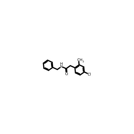 Cc1cc(Cl)ccc1CC(=O)NCc1ccccc1